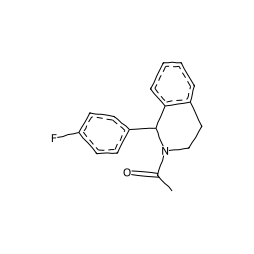 CC(=O)N1CCc2ccccc2C1c1ccc(F)cc1